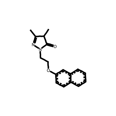 CC1=NN(CCOc2ccc3ccccc3c2)C(=O)C1C